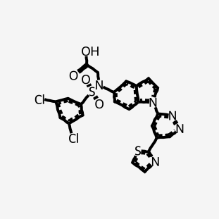 O=C(O)CN(c1ccc2c(ccn2-c2cc(-c3nccs3)cnn2)c1)S(=O)(=O)c1cc(Cl)cc(Cl)c1